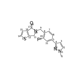 Cn1ccc(-c2ccc(CN3Cc4sccc4C3=O)c(F)c2)n1